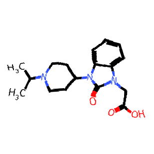 CC(C)N1CCC(n2c(=O)n(CC(=O)O)c3ccccc32)CC1